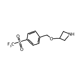 O=S(=O)(c1ccc(COC2CNC2)cc1)C(F)(F)F